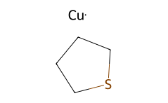 C1CCSC1.[Cu]